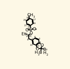 BC1(B)Oc2ccc(C[C@@H](CC)OS(=O)(=O)c3ccc(C)cc3)cc2O1